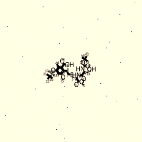 COC(=O)[C@H](CSCCc1c(OC)cc(O[Si](C)(C)C(C)(C)C)c(C)c1C(=O)O)NC(=O)[C@H](CO)NC(=O)OC(C)(C)C